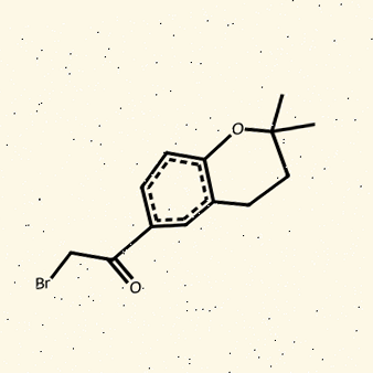 CC1(C)CCc2cc(C(=O)CBr)ccc2O1